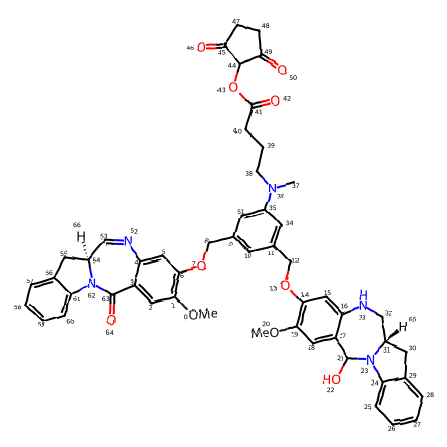 COc1cc2c(cc1OCc1cc(COc3cc4c(cc3OC)C(O)N3c5ccccc5C[C@H]3CN4)cc(N(C)CCCC(=O)OC3C(=O)CCC3=O)c1)N=C[C@@H]1Cc3ccccc3N1C2=O